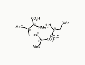 CC[C@H](C)[C@H](NC)C(=O)O.CN[C@H](C(=O)O)[C@@H](C)OC.COC[C@H](N)C(=O)O